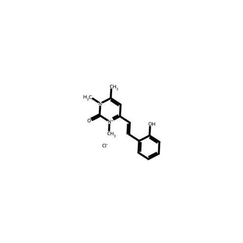 Cc1cc(C=Cc2ccccc2O)[n+](C)c(=O)n1C.[Cl-]